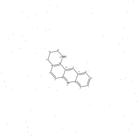 c1ccc2nc3ccc4c(c3cc2c1)NCCC4